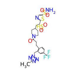 Cc1nnn(Cc2cc(C(F)(F)F)ccc2CCC(=O)N2CCC(CC(c3ncc(S(N)(=O)=O)s3)[SH](=O)=O)CC2)n1